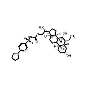 CC[C@H]1[C@@H](O)[C@@H]2[C@H](CC[C@]3(C)[C@@H]([C@H](C)COC(=O)NS(=O)(=O)c4ccc(N5CCCC5)nc4)CC[C@@H]23)[C@@]2(C)CC[C@@H](O)C[C@@H]12